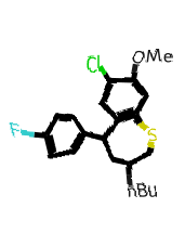 CCCCC1CSc2cc(OC)c(Cl)cc2C(c2ccc(F)cc2)C1